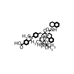 C[C@@H](CN[C@@H](Cc1ccc(N(C)Cc2ccc(C(=O)O)cc2)cc1)C(=O)N1Cc2ccccc2C[C@H]1C(=O)N[C@@H]1CCCc2ccccc21)N(C)C(=O)OC(C)(C)C